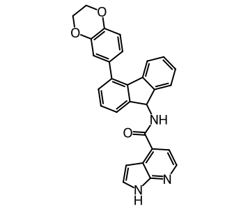 O=C(NC1c2ccccc2-c2c(-c3ccc4c(c3)OCCO4)cccc21)c1ccnc2[nH]ccc12